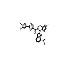 Cc1cc(-c2nnc(C(=O)N3CCc4[nH]cnc4[C@@H]3c3cc4cccc(C(I)I)n4n3)o2)nn1C